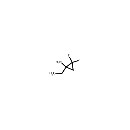 CCC1(N)CC1(F)F